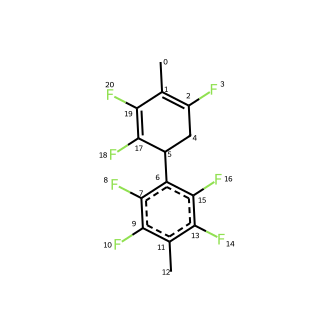 CC1=C(F)CC(c2c(F)c(F)c(C)c(F)c2F)C(F)=C1F